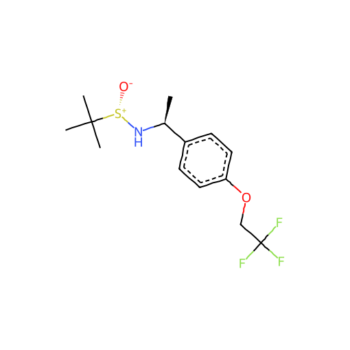 C[C@H](N[S@@+]([O-])C(C)(C)C)c1ccc(OCC(F)(F)F)cc1